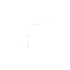 O=CON1CC1